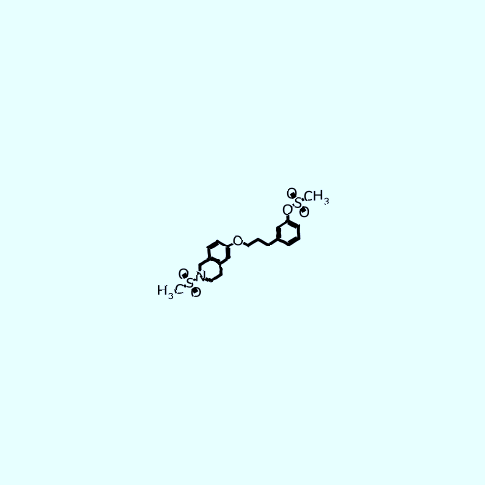 CS(=O)(=O)Oc1cccc(CCCOc2ccc3c(c2)CCN(S(C)(=O)=O)C3)c1